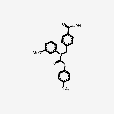 COC(=O)c1ccc(CN(C(=O)Oc2ccc([N+](=O)[O-])cc2)c2cccc(OC)c2)cc1